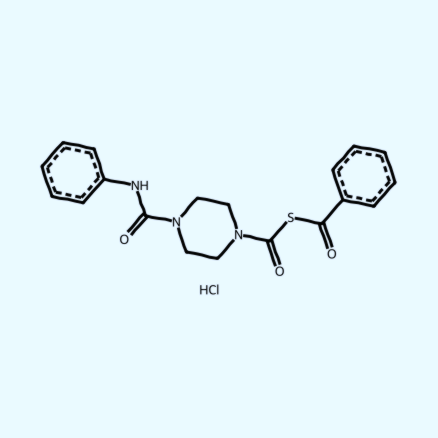 Cl.O=C(SC(=O)N1CCN(C(=O)Nc2ccccc2)CC1)c1ccccc1